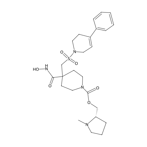 CN1CCC[C@H]1COC(=O)N1CCC(CS(=O)(=O)N2CC=C(c3ccccc3)CC2)(C(=O)NO)CC1